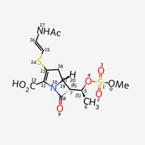 COS(=O)(=O)O[C@@H](C)[C@@H]1C(=O)N2C(C(=O)O)=C(SC=CNC(C)=O)C[C@H]12